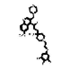 COc1ccc2ncc(CN3CCOCC3)c(C(F)CCC3(C(=O)O)CCN(CCSc4cc(F)c(F)c(F)c4)CC3)c2c1